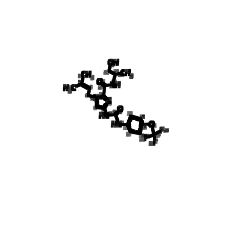 CC(C)=CCn1cc(NC(=O)Nc2ccc(OC(F)(F)F)cc2)nc1C(=O)NC(C)CO